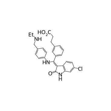 CCNCc1ccc(N/C(=C2\C(=O)Nc3cc(Cl)ccc32)c2cccc(CCC(=O)O)c2)cc1